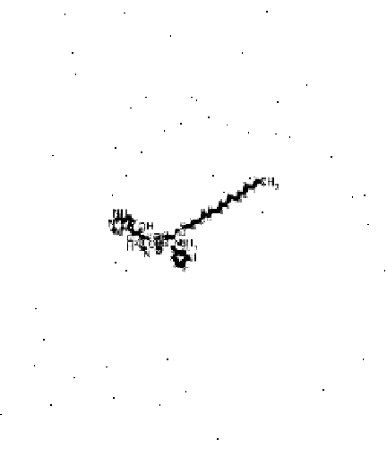 CCCCCCCCCCCCCCCCCCOC[C@H](COP(=O)(O)OC[C@@H](OC#N)[C@@H](O)[C@@H](O)c1ccc2c(N)ncnn12)N(C)Cc1ccc(F)c(Cl)c1